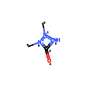 Cn1[nH]c(=O)n1C